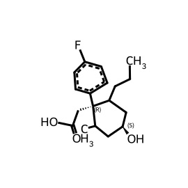 CCCC1C[C@@H](O)CC(C)[C@@]1(CC(=O)O)c1ccc(F)cc1